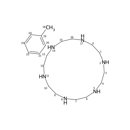 C1CNCCNCCNCCNCCNCCN1.Cc1ccccc1